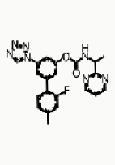 Cc1ccc(-c2cc(OC(=O)NC(C)c3ncccn3)cc(-n3cnnn3)c2)c(F)c1